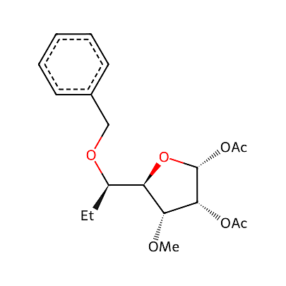 CC[C@@H](OCc1ccccc1)[C@H]1O[C@H](OC(C)=O)[C@H](OC(C)=O)[C@@H]1OC